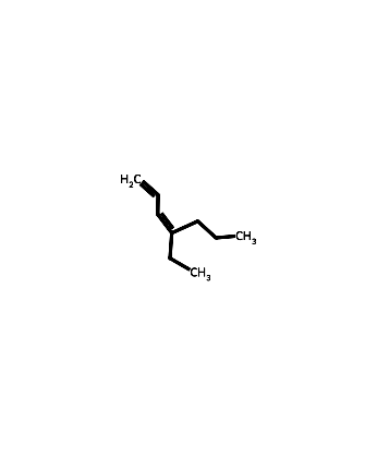 C=CC=C(CC)CCC